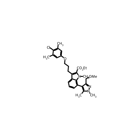 CCOC(=O)c1c(CCCOc2cc(C)c(Cl)c(C)c2)c2cccc(-c3c(COC)nn(C)c3C)c2n1C